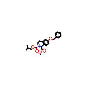 COC(=O)C1c2ccc(OCc3ccccc3)cc2CCN1C(=O)OCC(C)C